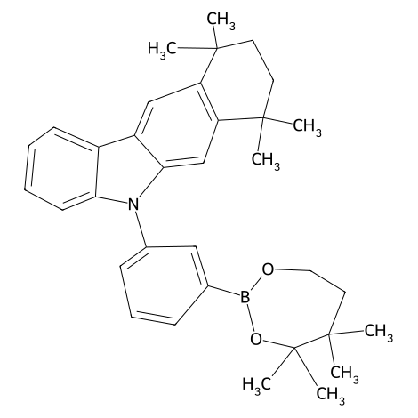 CC1(C)CCC(C)(C)c2cc3c(cc21)c1ccccc1n3-c1cccc(B2OCCC(C)(C)C(C)(C)O2)c1